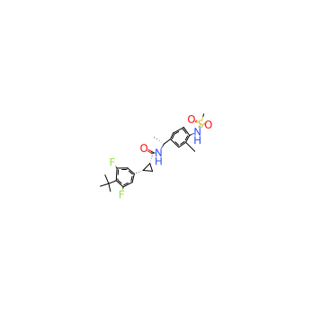 Cc1cc([C@@H](C)NC(=O)[C@@H]2C[C@@H]2c2cc(F)c(C(C)(C)C)c(F)c2)ccc1NS(C)(=O)=O